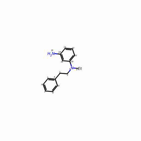 CCN(CCc1ccccc1)c1cccc(N)c1